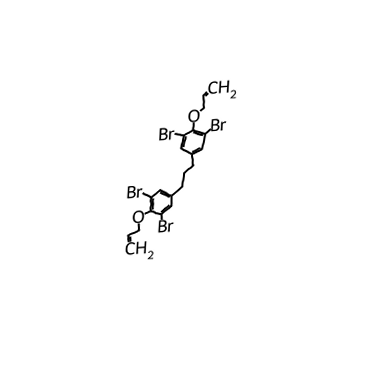 C=CCOc1c(Br)cc(CCCc2cc(Br)c(OCC=C)c(Br)c2)cc1Br